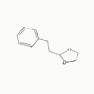 [c]1ccccc1CCC1OCCO1